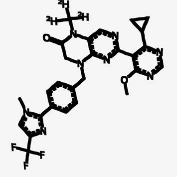 [2H]C([2H])([2H])N1C(=O)CN(Cc2ccc(-c3nc(C(F)(F)F)cn3C)cc2)c2nc(-c3c(OC)ncnc3C3CC3)ncc21